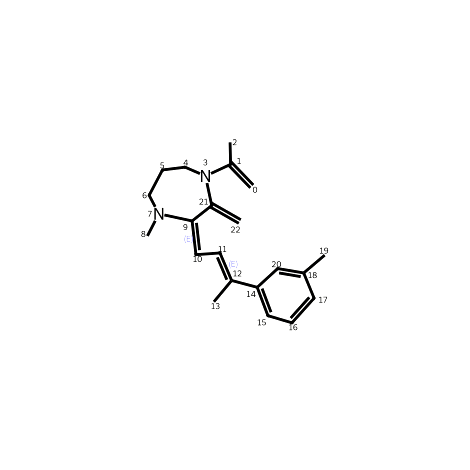 C=C(C)N1CCCN(C)/C(=C/C=C(\C)c2cccc(C)c2)C1=C